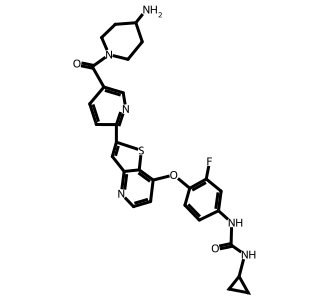 NC1CCN(C(=O)c2ccc(-c3cc4nccc(Oc5ccc(NC(=O)NC6CC6)cc5F)c4s3)nc2)CC1